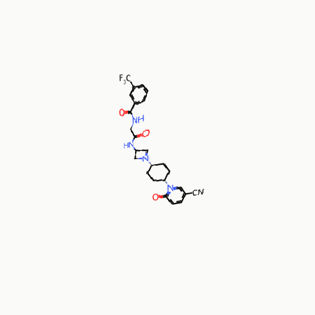 N#Cc1ccc(=O)n([C@H]2CC[C@@H](N3CC(NC(=O)CNC(=O)c4cccc(C(F)(F)F)c4)C3)CC2)c1